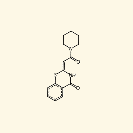 O=C1NC(=CC(=O)N2CCCCC2)Sc2ccccc21